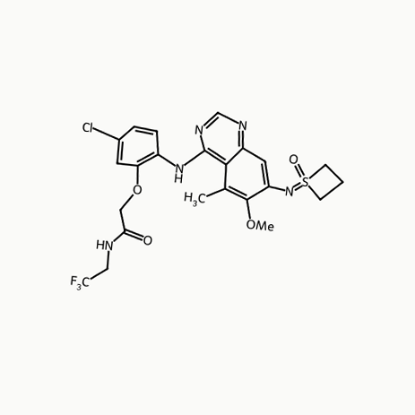 COc1c(N=S2(=O)CCC2)cc2ncnc(Nc3ccc(Cl)cc3OCC(=O)NCC(F)(F)F)c2c1C